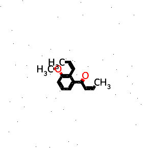 C/C=C\C(=O)c1cccc(OC)c1/C=C\C